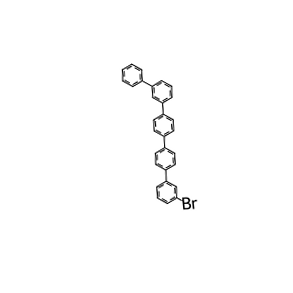 Brc1cccc(-c2ccc(-c3ccc(-c4cccc(-c5ccccc5)c4)cc3)cc2)c1